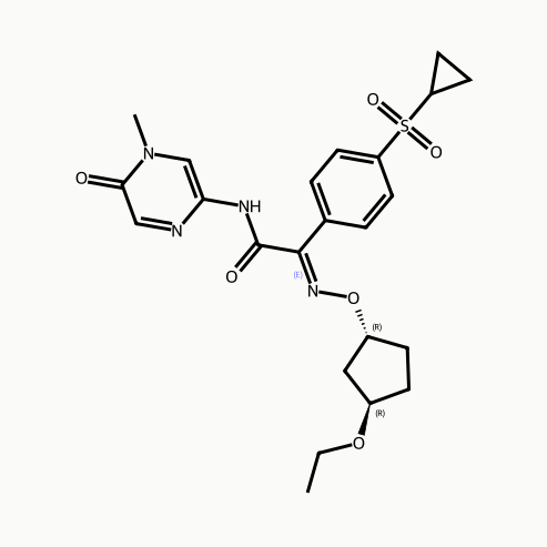 CCO[C@@H]1CC[C@@H](O/N=C(/C(=O)Nc2cn(C)c(=O)cn2)c2ccc(S(=O)(=O)C3CC3)cc2)C1